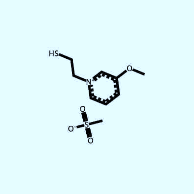 COc1ccc[n+](CCS)c1.CS(=O)(=O)[O-]